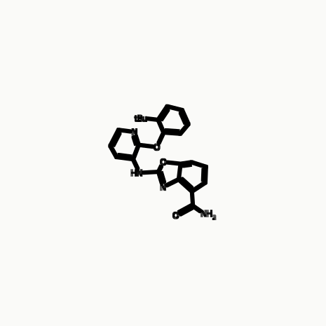 CC(C)(C)c1ccccc1Oc1ncccc1Nc1nc2c(C(N)=O)cccc2o1